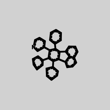 c1ccc(-c2c(-c3cccnc3)c(-c3ccccc3)c3c(c2-c2ccccc2)-c2cccc4cccc-3c24)cc1